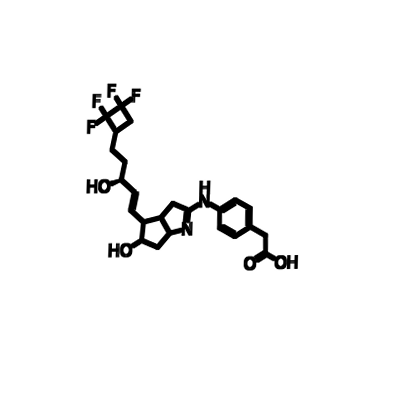 O=C(O)Cc1ccc(NC2=NC3CC(O)C(C=C[C@@H](O)CCC4CC(F)(F)C4(F)F)C3C2)cc1